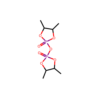 CC1OP(=O)(OP2(=O)OC(C)C(C)O2)OC1C